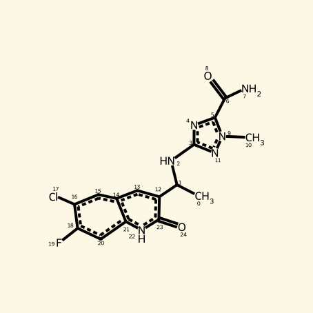 CC(Nc1nc(C(N)=O)n(C)n1)c1cc2cc(Cl)c(F)cc2[nH]c1=O